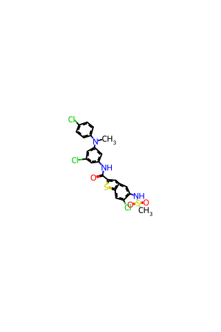 CN(c1ccc(Cl)cc1)c1cc(Cl)cc(NC(=O)c2cc3cc(NS(C)(=O)=O)c(Cl)cc3s2)c1